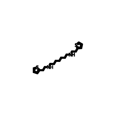 c1csc(CCNCCCCCCCNCCc2cccs2)c1